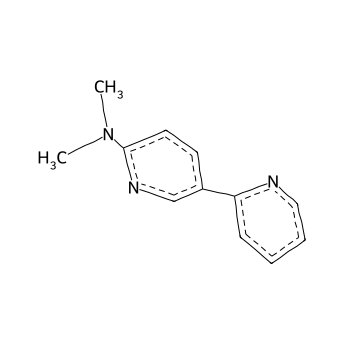 CN(C)c1ccc(-c2ccccn2)cn1